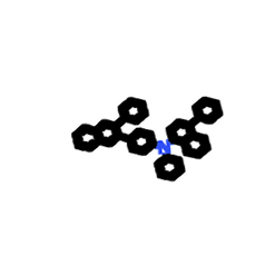 c1ccc(-c2cc3ccccc3cc2-c2ccc(N(c3ccccc3)c3ccc(-c4ccccc4)c4ccccc34)cc2)cc1